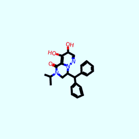 CC(C)N1CC(C(c2ccccc2)c2ccccc2)N2N=CC(O)C(O)=C2C1=O